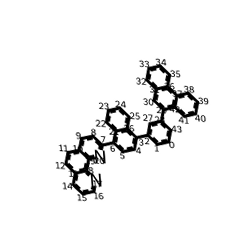 c1cc(-c2ccc(-c3ccc4ccc5cccnc5c4n3)c3ccccc23)cc(-c2cc3ccccc3c3ccccc23)c1